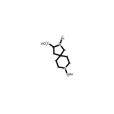 CSN1CCC2(CC1)CC(C(=O)O)N(C(C)=O)C2